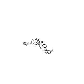 Cc1nc2ccc(F)cc2n1-c1cccc2c1OCC2N(C(=O)C(F)(F)F)c1ccc2c(c1)OC[C@H]2CC(=O)O